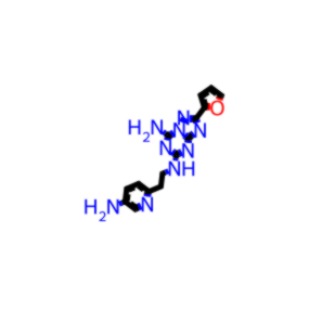 Nc1ccc(CCNc2nc(N)n3nc(-c4ccco4)nc3n2)nc1